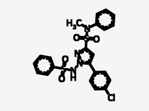 CN(c1ccccc1)S(=O)(=O)c1cc(-c2ccc(Cl)cc2)n(NS(=O)(=O)c2ccccc2)n1